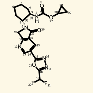 O=C(N[C@@H]1CCCC[C@H]1N1Cc2ncc(-c3nnc(C(F)F)o3)cc2C1=O)OC1CC1